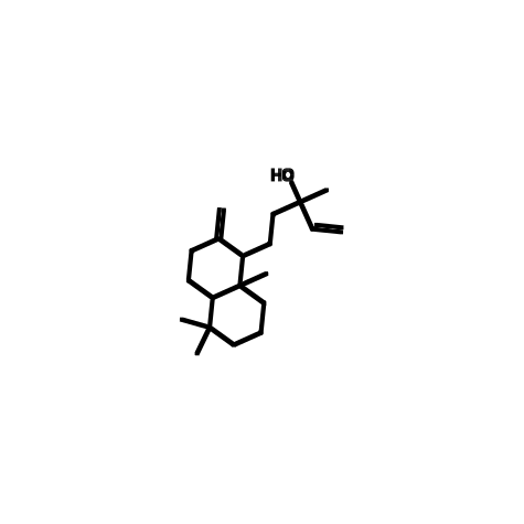 C=CC(C)(O)CCC1C(=C)CCC2C(C)(C)CCCC12C